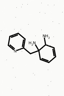 NC1C=CC=CC1(N)Cc1ccccn1